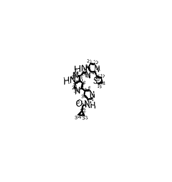 O=C(Nc1cncc(-c2cc3c(-c4nc5c(-c6cccs6)nccc5[nH]4)n[nH]c3cn2)c1)C1CC1